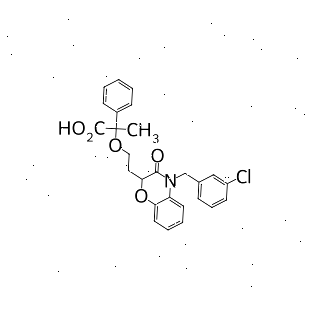 CC(OCCC1Oc2ccccc2N(Cc2cccc(Cl)c2)C1=O)(C(=O)O)c1ccccc1